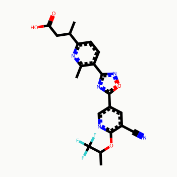 Cc1nc(C(C)CC(=O)O)ccc1-c1noc(-c2cnc(OC(C)C(F)(F)F)c(C#N)c2)n1